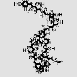 CCSSCC(C(=O)C(=O)[C@H](CCC(=O)O)NN[C@@H](Cc1ccc(O)cc1)C(=O)N[C@@H](CS)C(=O)C(=O)[C@H](CS)NN[C@@H](CC(N)=O)C(=O)N1CCC[C@H]1C(=O)CC(=O)[C@H](C)NCC(=O)[C@H](CS)NN[C@H](C(=O)NCC(=O)N[C@@H](CS)C(=O)C(=O)[C@@H](N)Cc1ccc(O)cc1)[C@@H](C)O)N1CNC(CSS)C1=O